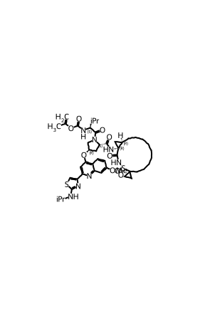 C=C(C)OC(=O)N[C@H](C(=O)N1C[C@H](Oc2cc(-c3csc(NC(C)C)n3)nc3cc(OC)ccc23)C[C@H]1C(=O)N[C@]12C[C@H]1CCCCCCCCCC1(CC1)S(=O)(=O)NC2=O)C(C)C